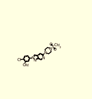 CS(=O)(=O)N1CCN(c2cc3cn(-c4ccc(Cl)c(O)c4)nc3cn2)CC1